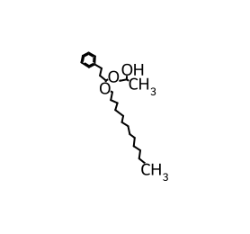 CCCCCCCCCCCCCCOC(CCc1ccccc1)OCC(C)O